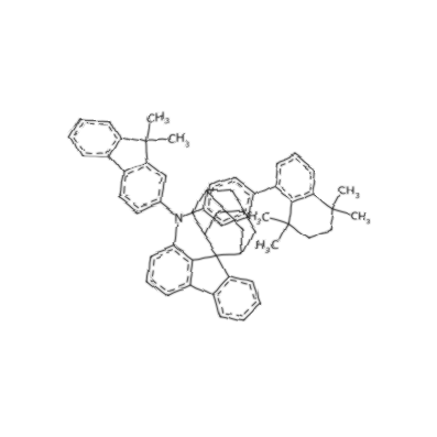 CC1(C)CCC(C)(C)c2c(-c3ccc(N(c4ccc5c(c4)C(C)(C)c4ccccc4-5)c4cccc5c4C4(c6ccccc6-5)C5CC6CC(C5)CC4C6)cc3)cccc21